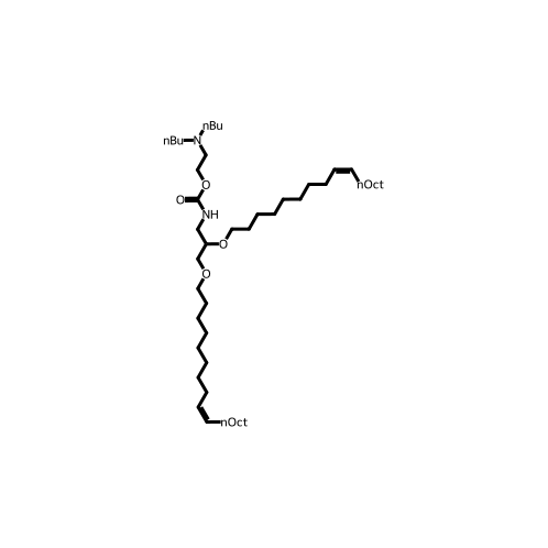 CCCCCCCC/C=C\CCCCCCCCOCC(CNC(=O)OCCN(CCCC)CCCC)OCCCCCCCC/C=C\CCCCCCCC